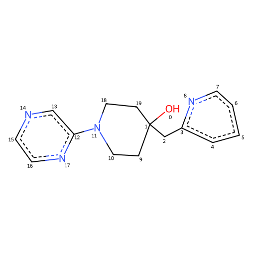 OC1(Cc2ccccn2)CCN(c2cnccn2)CC1